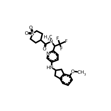 COc1cccc2c1CC(Nc1ccc(C(N(C)C(=O)C3CCS(=O)(=O)CC3)C(F)(F)F)nc1)C2